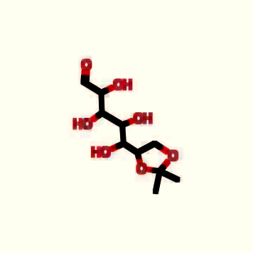 CC1(C)OCC(C(O)C(O)C(O)C(O)C=O)O1